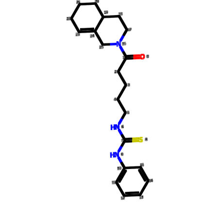 O=C(CCCCNC(=S)Nc1ccccc1)N1CCC2CCCC=C2C1